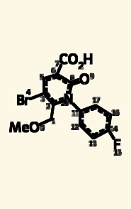 COCc1c(Br)cc(C(=O)O)c(=O)n1-c1ccc(F)cc1